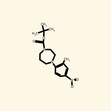 Cc1cc([N+](=O)[O-])ccc1N1CCCN(C(=O)OC(C)(C)C)CC1